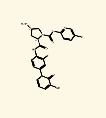 CO[C@@H]1C[C@H](C(=O)Nc2ccc(-n3cccc(O)c3=O)cc2F)N(C(=O)Nc2ccc(Cl)cn2)C1